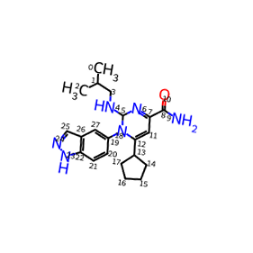 CC(C)CNC1N=C(C(N)=O)C=C(C2CCCC2)N1c1ccc2[nH]ncc2c1